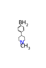 Bc1ccc(C2CCN(C)CC2)cc1